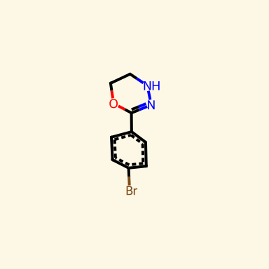 Brc1ccc(C2=NNCCO2)cc1